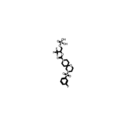 O=C(OC(COP(=O)(O)O)C(F)(F)F)N1CCC2(CC1)CN(S(=O)(=O)c1cccc(F)c1)CCO2